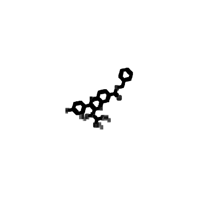 CC(C)N(C)c1nc2cc(C(=O)SCc3ccccc3)ccc2nc1-c1ccc(F)cc1